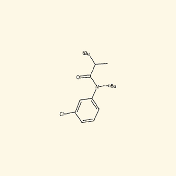 CCCCN(C(=O)C(C)C(C)(C)C)c1cccc(Cl)c1